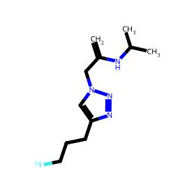 C=C(Cn1cc(CCC[18F])nn1)NC(C)C